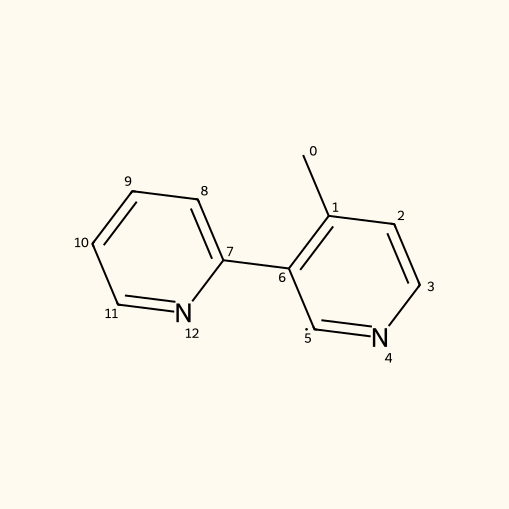 Cc1ccn[c]c1-c1ccccn1